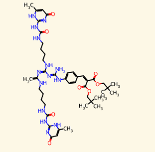 C=C(/N=C(\N=C(/N)Nc1ccc(C=C(C(=O)OCC(C)(C)C)C(=O)OCC(C)(C)C)cc1)NCCCCNC(=O)Nc1nc(=O)cc(C)[nH]1)NCCCCNC(=O)Nc1nc(=O)cc(C)[nH]1